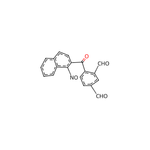 O=Cc1ccc(C(=O)c2ccc3ccccc3c2N=O)c(C=O)c1